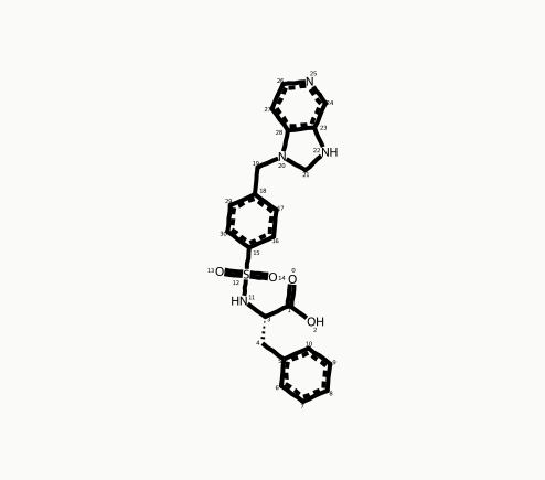 O=C(O)[C@H](Cc1ccccc1)NS(=O)(=O)c1ccc(CN2CNc3cnccc32)cc1